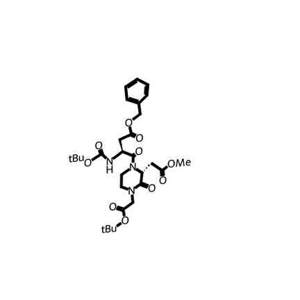 COC(=O)C[C@@H]1C(=O)N(CC(=O)OC(C)(C)C)CCN1C(=O)[C@H](CC(=O)OCc1ccccc1)NC(=O)OC(C)(C)C